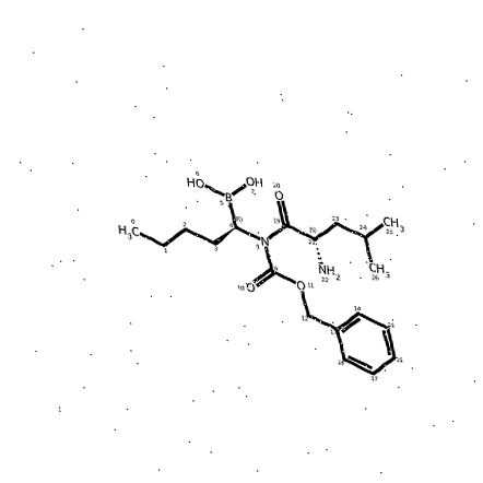 CCCC[C@@H](B(O)O)N(C(=O)OCc1ccccc1)C(=O)[C@@H](N)CC(C)C